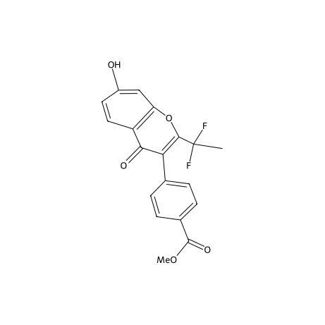 COC(=O)c1ccc(-c2c(C(C)(F)F)oc3cc(O)ccc3c2=O)cc1